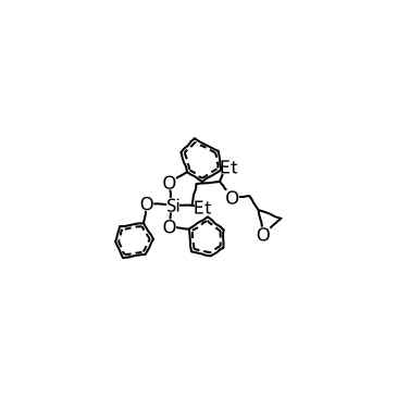 CCC(CC(CC)[Si](Oc1ccccc1)(Oc1ccccc1)Oc1ccccc1)OCC1CO1